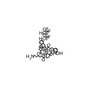 CC(C)CC(NC(=O)C(Cc1ccccc1)NC(=O)C(N)Cc1ccccc1)C(=O)NC(CCCCN)C(=O)N1CCC2(CC1)CN(CCO)C2.O=C(O)C(F)(F)F.O=C(O)C(F)(F)F